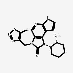 C[C@@H]1CCCC[C@@H]1n1c(=O)n(Cc2nnsc2Cl)c2cnc3[nH]ccc3c21